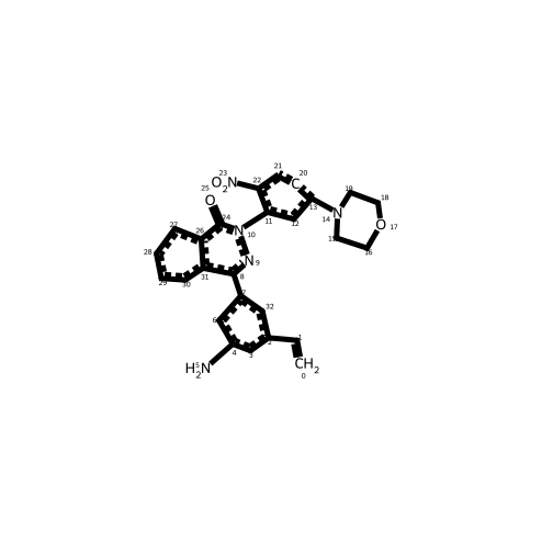 C=Cc1cc(N)cc(-c2nn(-c3cc(N4CCOCC4)ccc3[N+](=O)[O-])c(=O)c3ccccc23)c1